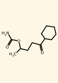 CC(CCC(=O)C1CCCCC1)OC(N)=O